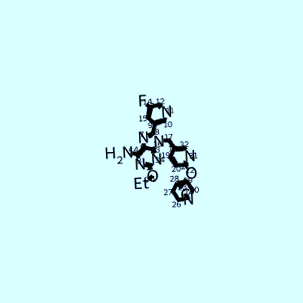 CCOc1nc(N)c2nc(-c3cncc(F)c3)n(Cc3ccc(OC4CN5CCC4CC5)nc3)c2n1